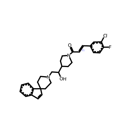 O=C(/C=C/c1ccc(F)c(Cl)c1)N1CCC(C(O)CN2CCC3(C=Cc4ccccc43)CC2)CC1